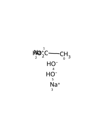 CC(=O)O.[Na+].[Na+].[OH-].[OH-]